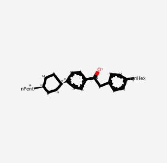 CCCCCCc1ccc(CC(=O)c2ccc([C@H]3CC[C@H](CCCCC)CC3)cc2)cc1